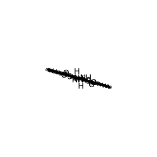 CCCCCCCCCCCCOC(=O)CCSCCCC(=N)NCCNC(=N)CCCSCCC(=O)OCCCCCCCCCCCC